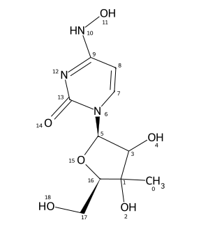 CC1(O)C(O)[C@H](n2ccc(NO)nc2=O)O[C@@H]1CO